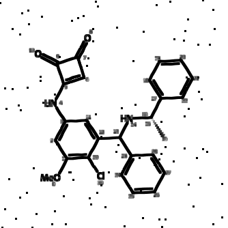 COc1cc(Nc2cc(=O)c2=O)cc(C(N[C@@H](C)c2ccccc2)c2ccccc2)c1Cl